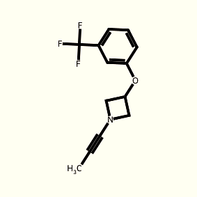 CC#CN1CC(Oc2cccc(C(F)(F)F)c2)C1